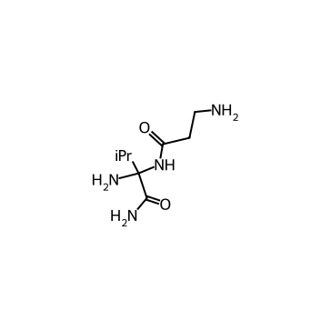 CC(C)C(N)(NC(=O)CCN)C(N)=O